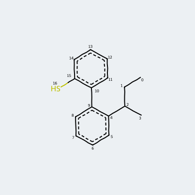 CCC(C)c1ccccc1-c1ccccc1S